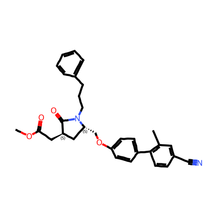 COC(=O)C[C@@H]1C[C@@H](COc2ccc(-c3ccc(C#N)cc3C)cc2)N(CCCc2ccccc2)C1=O